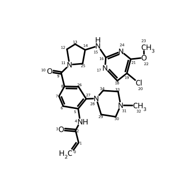 C=CC(=O)Nc1ccc(C(=O)N2CCC(Nc3ncc(Cl)c(OC)n3)C2)cc1N1CCN(C)CC1